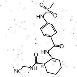 CS(=O)(=O)Nc1ccc(C(=O)N[C@H]2CCCC[C@H]2C(=O)NCC#N)cc1